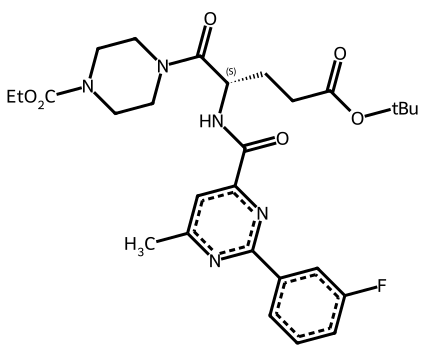 CCOC(=O)N1CCN(C(=O)[C@H](CCC(=O)OC(C)(C)C)NC(=O)c2cc(C)nc(-c3cccc(F)c3)n2)CC1